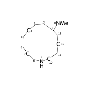 CNC1CCCCCCCNCCCC1